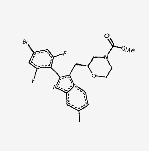 COC(=O)N1CCO[C@@H](Cc2c(-c3c(F)cc(Br)cc3F)nc3cc(C)ccn23)C1